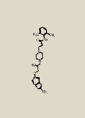 Cc1nc2cc(OCC(O)CN3CCN(CCC(=O)Nc4c(C)cccc4C)CC3)ccc2s1